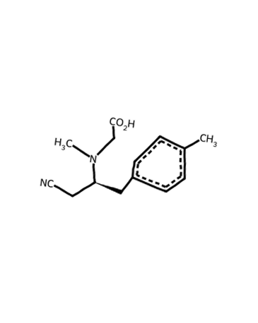 Cc1ccc(C[C@@H](CC#N)N(C)CC(=O)O)cc1